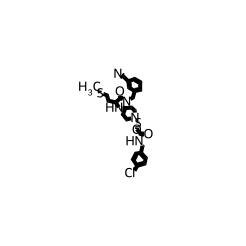 CSCCC1NC2(CCN(SOC(=O)NCc3ccc(Cl)cc3)CC2)N(Cc2cccc(C#N)c2)C1=O